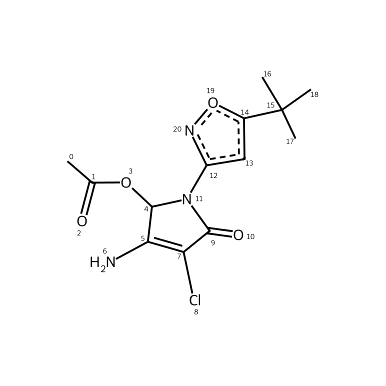 CC(=O)OC1C(N)=C(Cl)C(=O)N1c1cc(C(C)(C)C)on1